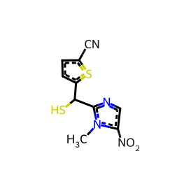 Cn1c([N+](=O)[O-])cnc1C(S)c1ccc(C#N)s1